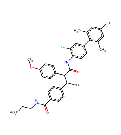 CCCC(c1ccc(C(=O)NCCC(=O)O)cc1)C(C(=O)Nc1ccc(-c2c(C)cc(C)cc2C)cc1F)c1ccc(OC(F)(F)F)cc1